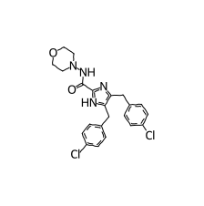 O=C(NN1CCOCC1)c1nc(Cc2ccc(Cl)cc2)c(Cc2ccc(Cl)cc2)[nH]1